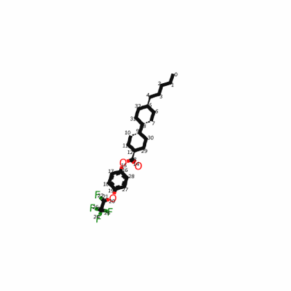 CCCCC[C@H]1CC[C@H]([C@H]2CC[C@H](C(=O)Oc3ccc(OC(F)C(F)(F)F)cc3)CC2)CC1